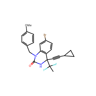 COc1ccc(CN2C(=O)NC(C#CC3CC3)(C(C)(F)F)c3ccc(Br)cc32)cc1